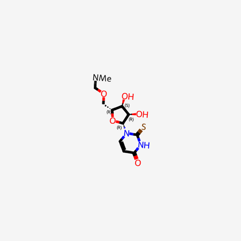 CNCOC[C@H]1O[C@@H](n2ccc(=O)[nH]c2=S)[C@H](O)[C@@H]1O